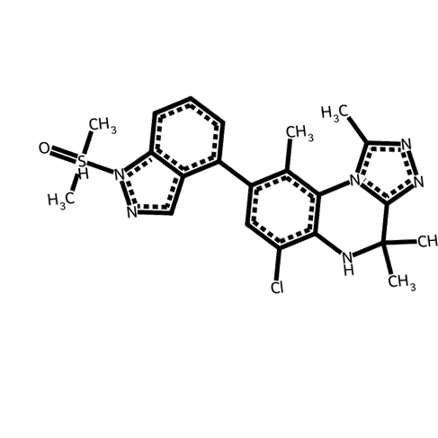 Cc1c(-c2cccc3c2cnn3[SH](C)(C)=O)cc(Cl)c2c1-n1c(C)nnc1C(C)(C)N2